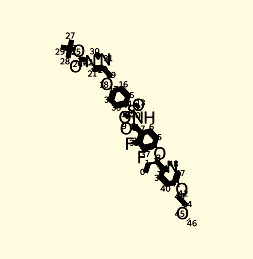 CC[C@@H](Oc1ccc(C(=O)NS(=O)(=O)c2ccc(OCc3cn(C(=O)OC(C)(C)C)cn3)cc2)c(F)c1F)c1ccc(OCCOC)cn1